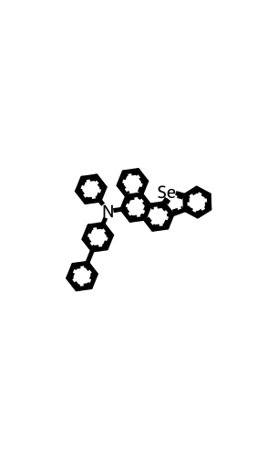 c1ccc(-c2ccc(N(c3ccccc3)c3cc4ccc5c6ccccc6[se]c5c4c4ccccc34)cc2)cc1